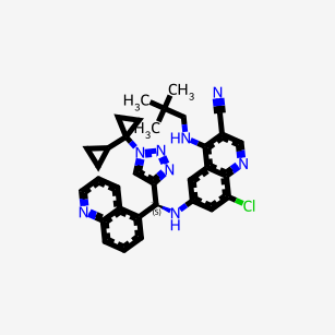 CC(C)(C)CNc1c(C#N)cnc2c(Cl)cc(N[C@H](c3cn(C4(C5CC5)CC4)nn3)c3cccc4ncccc34)cc12